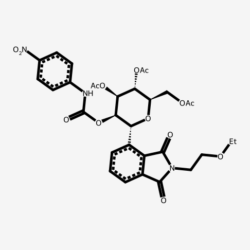 CCOCCN1C(=O)c2cccc([C@H]3O[C@H](COC(C)=O)[C@@H](OC(C)=O)[C@H](OC(C)=O)[C@@H]3OC(=O)Nc3ccc([N+](=O)[O-])cc3)c2C1=O